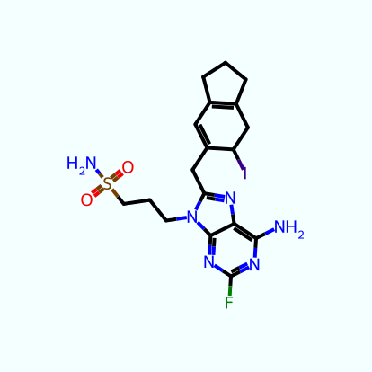 Nc1nc(F)nc2c1nc(CC1=CC3=C(CCC3)CC1I)n2CCCS(N)(=O)=O